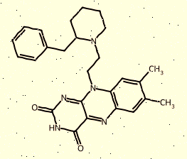 Cc1cc2nc3c(=O)[nH]c(=O)nc-3n(CCN3CCCCC3Cc3ccccc3)c2cc1C